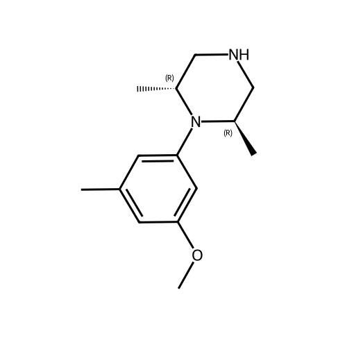 COc1cc(C)cc(N2[C@H](C)CNC[C@H]2C)c1